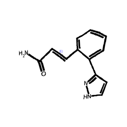 NC(=O)/C=C/c1ccccc1-c1cc[nH]n1